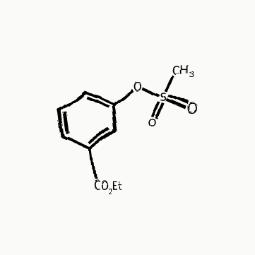 CCOC(=O)c1cccc(OS(C)(=O)=O)c1